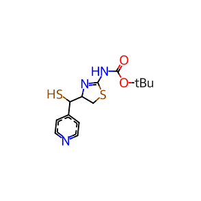 CC(C)(C)OC(=O)NC1=NC(C(S)c2ccncc2)CS1